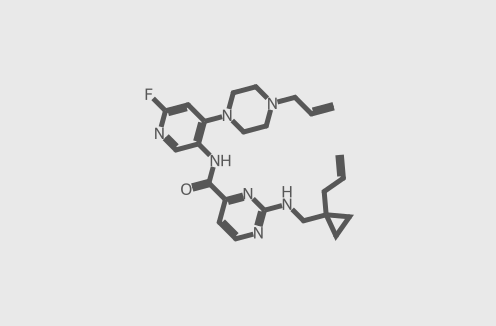 C=CCN1CCN(c2cc(F)ncc2NC(=O)c2ccnc(NCC3(CC=C)CC3)n2)CC1